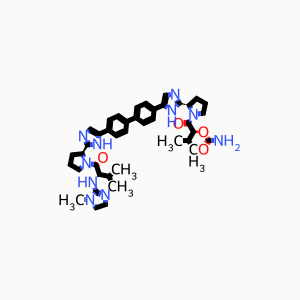 CC(C)[C@H](NC1=NCCN1C)C(=O)N1CCC[C@H]1c1ncc(-c2ccc(-c3ccc(-c4cnc([C@@H]5CCCN5C(=O)[C@@H](OC(N)=O)C(C)C)[nH]4)cc3)cc2)[nH]1